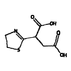 O=C(O)CC(C(=O)O)C1=NCCS1